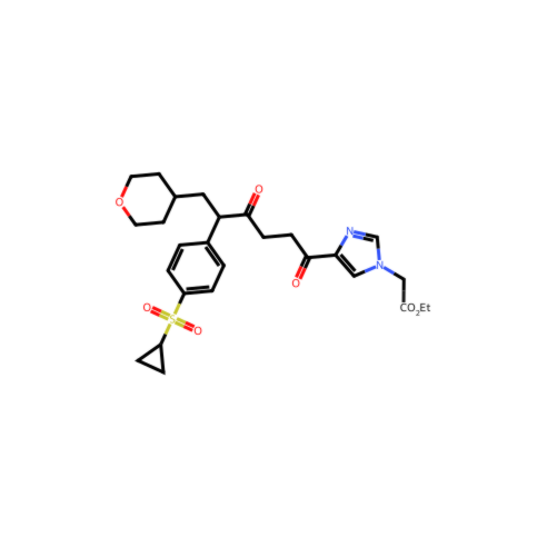 CCOC(=O)Cn1cnc(C(=O)CCC(=O)C(CC2CCOCC2)c2ccc(S(=O)(=O)C3CC3)cc2)c1